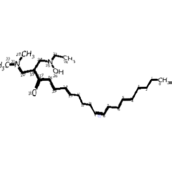 CCCCCCCC/C=C\CCCCCCCC(=O)C(CN(C)C)CN(O)CC